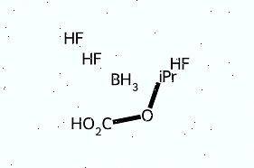 B.CC(C)OC(=O)O.F.F.F